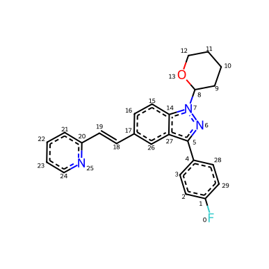 Fc1ccc(-c2nn(C3CCCCO3)c3ccc(C=Cc4ccccn4)cc23)cc1